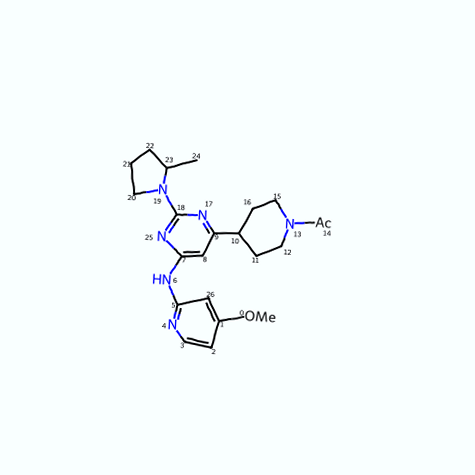 COc1ccnc(Nc2cc(C3CCN(C(C)=O)CC3)nc(N3CCCC3C)n2)c1